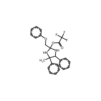 CC1(c2ccccc2)NC(COc2ccccc2)(OC(=O)C(F)(F)F)NC1c1ccccc1